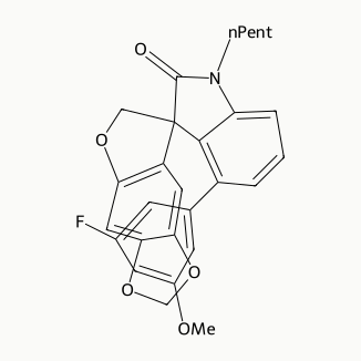 CCCCCN1C(=O)C2(COc3cc4c(cc32)OCO4)c2c(-c3cc(F)cc(OC)c3)cccc21